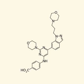 O=C(O)c1ccc(Nc2cc(-c3ccc4cnn(CCCN5CCOCC5)c4c3)nc(N3CCOCC3)n2)cc1